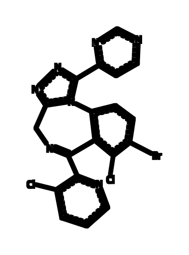 Clc1cccnc1C1=NCc2nnc(-c3ccncn3)n2-c2ccc(Br)c(Cl)c21